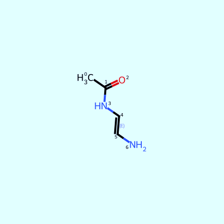 CC(=O)N/C=C/N